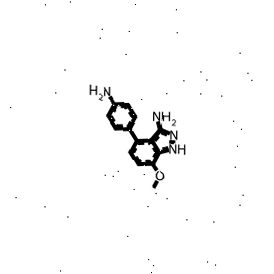 COc1ccc(-c2ccc(N)cc2)c2c(N)n[nH]c12